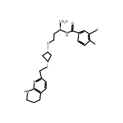 O=C(N[C@@H](CCO[C@H]1C[C@@H](CCc2ccc3c(n2)NCCC3)C1)C(=O)O)c1ccc(F)c(F)c1